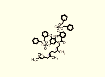 CC(C)=CCC/C(C)=C/CC/C(C)=C/CN1C(=O)c2cccc(OP(=O)(OCc3ccccc3)OCc3ccccc3)c2Nc2c(O)cc(OP(=O)(OCc3ccccc3)OCc3ccccc3)cc21